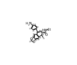 CCNC(=O)N1N=C(c2ccc(N)cc2)c2cc3c(cc2C1C)OCO3